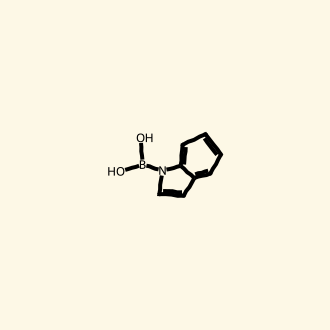 OB(O)n1ccc2ccccc21